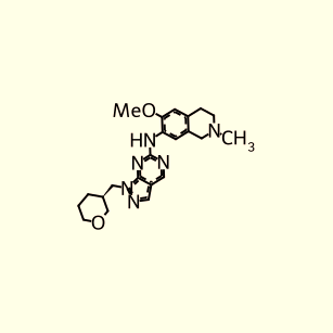 COc1cc2c(cc1Nc1ncc3cnn(C[C@@H]4CCCOC4)c3n1)CN(C)CC2